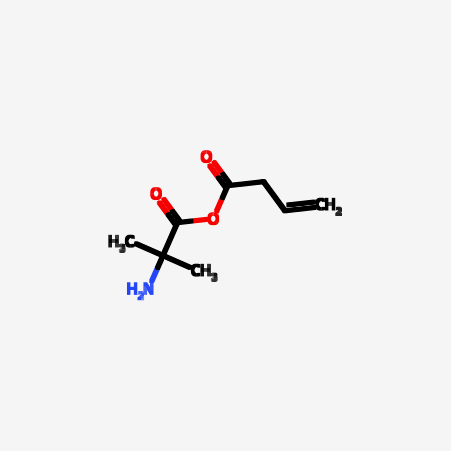 C=CCC(=O)OC(=O)C(C)(C)N